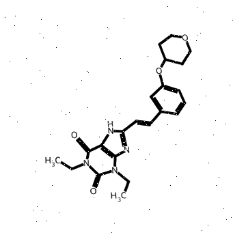 CCn1c(=O)c2[nH]c(C=Cc3cccc(OC4CCOCC4)c3)nc2n(CC)c1=O